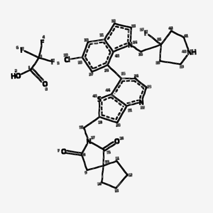 O=C(O)C(F)(F)F.O=C1CC2(CCCC2)C(=O)N1Cc1cc2nccc(-c3cc(Cl)cc4ccn(CC5(F)CCNCC5)c34)c2s1